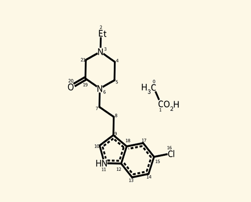 CC(=O)O.CCN1CCN(CCc2c[nH]c3ccc(Cl)cc23)C(=O)C1